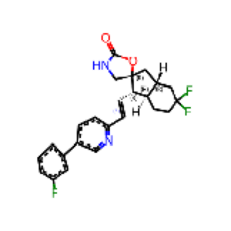 O=C1NC[C@]2(C[C@@H]3CC(F)(F)CC[C@H]3[C@@H]2/C=C/c2ccc(-c3cccc(F)c3)cn2)O1